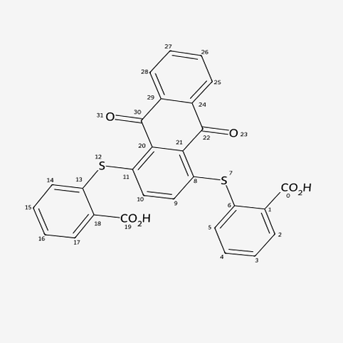 O=C(O)c1ccccc1Sc1ccc(Sc2ccccc2C(=O)O)c2c1C(=O)c1ccccc1C2=O